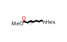 CCCCCCCCC/C=C/CC(=O)OC